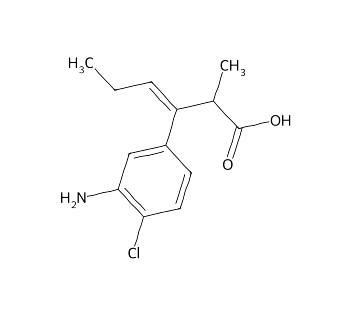 CC/C=C(\c1ccc(Cl)c(N)c1)C(C)C(=O)O